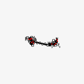 CC(C)(C)C[C@@H]1NC(C(=O)NCCOCCOCCOCCOCCOc2ccc(C(=O)N[C@H]3C(C)(C)[C@H](Oc4ccc(C#N)c(Cl)c4)C3(C)C)cc2)[C@H](c2cccc(Cl)c2F)[C@@]1(C#N)c1ccc(Cl)cc1F